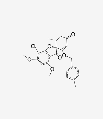 COc1cc(OC)c2c(c1Cl)O[C@]1(C2=O)C(OCc2ccc(C)cc2)=CC(=O)C[C@H]1C